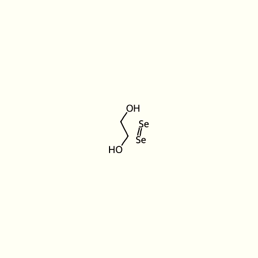 OCCO.[Se]=[Se]